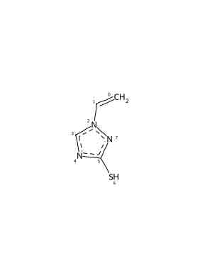 C=Cn1cnc(S)n1